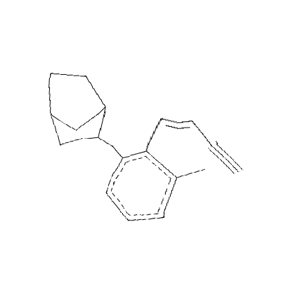 C#C/C=C\c1c(C)cccc1C1CC2CCC1C2